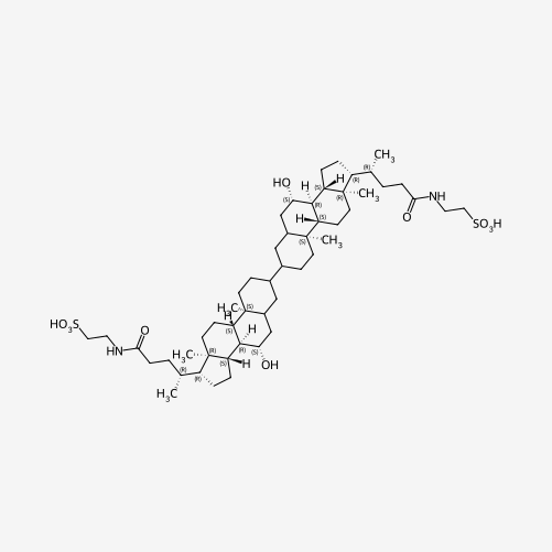 C[C@H](CCC(=O)NCCS(=O)(=O)O)[C@H]1CC[C@H]2[C@@H]3[C@@H](O)CC4CC(C5CC[C@@]6(C)C(C5)C[C@H](O)[C@H]5[C@@H]7CC[C@H]([C@H](C)CCC(=O)NCCS(=O)(=O)O)[C@@]7(C)CC[C@@H]56)CC[C@]4(C)[C@H]3CC[C@]12C